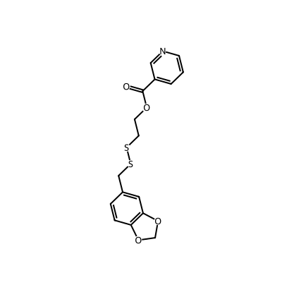 O=C(OCCSSCc1ccc2c(c1)OCO2)c1cccnc1